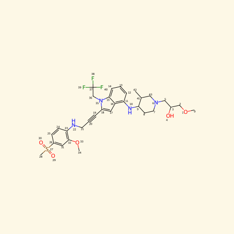 COCC(O)CN1CCC(Nc2cccc3c2cc(C#CCNc2ccc(S(C)(=O)=O)cc2OC)n3CC(F)(F)F)C(C)C1